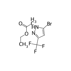 CCOC(C)=O.FC(F)(F)c1cc(Br)[nH]n1